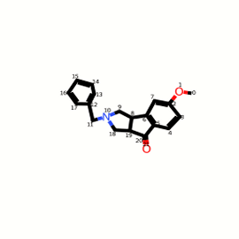 COc1ccc2c(c1)C1CN(Cc3ccccc3)CC1C2=O